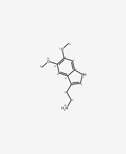 COc1cc2[nH]cc(CCN)c2cc1OC